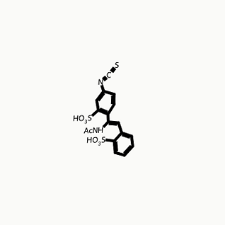 CC(=O)NC(=Cc1ccccc1S(=O)(=O)O)c1ccc(N=C=S)cc1S(=O)(=O)O